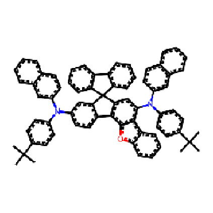 CC(C)(C)c1ccc(N(c2ccc3c(c2)C2(c4ccccc4-c4ccccc42)c2cc(N(c4ccc(C(C)(C)C)cc4)c4ccc5ccccc5c4)c4c(oc5ccccc54)c2-3)c2ccc3ccccc3c2)cc1